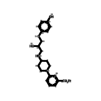 CCOC(=O)c1cccc(N2CCC(NCC(O)COc3ccc(O)cc3)CC2)n1